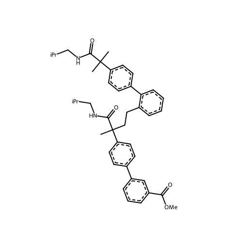 COC(=O)c1cccc(-c2ccc(C(C)(CCc3ccccc3-c3ccc(C(C)(C)C(=O)NCC(C)C)cc3)C(=O)NCC(C)C)cc2)c1